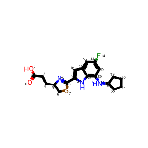 O=C(O)CC[C@@H]1CSC(c2cc3cc(F)cc(NC4CCCC4)c3[nH]2)=N1